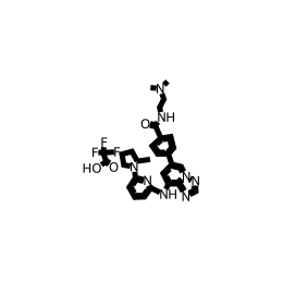 CC1CCCN1c1cccc(Nc2cc(-c3ccc(C(=O)NCCN(C)C)cc3)cn3ncnc23)n1.O=C(O)C(F)(F)F